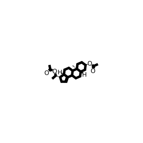 CC(=O)OC(C)[C@H]1CC=C2C3CC[C@H]4C[C@@H](OC(C)=O)CC[C@]4(C)C3CC[C@@H]21